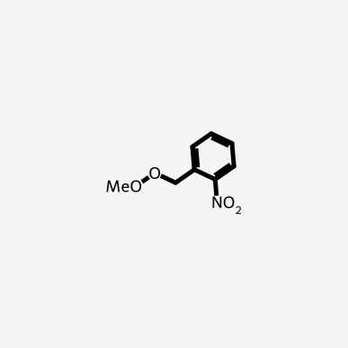 COOCc1ccccc1[N+](=O)[O-]